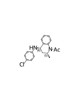 CC(=O)N1c2ccccc2[C@H](Nc2ccc(Cl)cc2)C[C@@H]1C